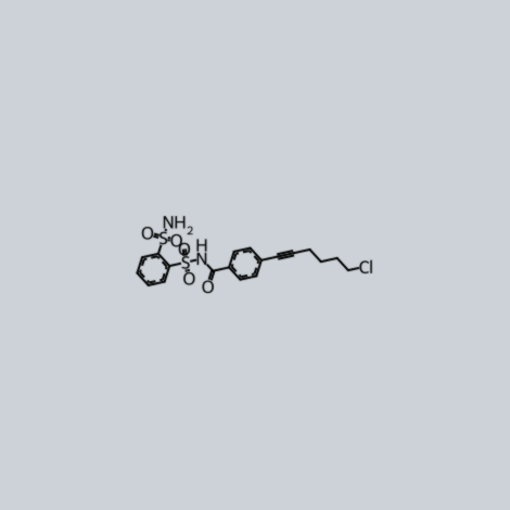 NS(=O)(=O)c1ccccc1S(=O)(=O)NC(=O)c1ccc(C#CCCCCCl)cc1